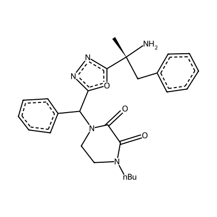 CCCCN1CCN(C(c2ccccc2)c2nnc([C@](C)(N)Cc3ccccc3)o2)C(=O)C1=O